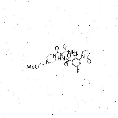 COCCN1CCN(C(=O)[C@@H](NS(=O)(=O)c2cc(F)cc(N3CCCC3=O)c2Cl)C(N)=O)CC1